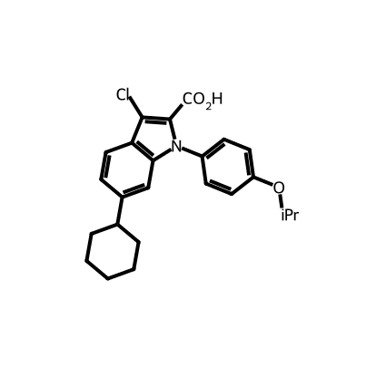 CC(C)Oc1ccc(-n2c(C(=O)O)c(Cl)c3ccc(C4CCCCC4)cc32)cc1